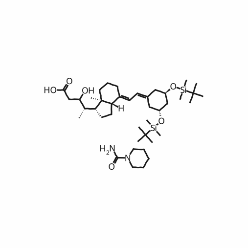 C[C@H](C(O)CC(=O)O)[C@H]1CC[C@H]2C(=CC=C3C[C@@H](O[Si](C)(C)C(C)(C)C)C[C@H](O[Si](C)(C)C(C)(C)C)C3)CCC[C@]12C.NC(=O)N1CCCCC1